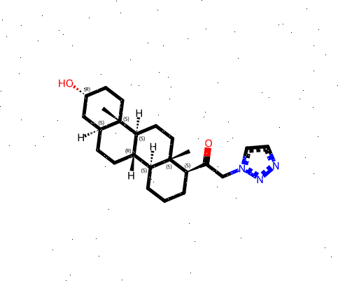 C[C@]12CC[C@@H](O)C[C@@H]1CC[C@@H]1[C@@H]2CC[C@]2(C)[C@@H](C(=O)Cn3ccnn3)CCC[C@@H]12